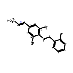 Cc1ccccc1COc1c(Br)cc(/C=C/C(=O)O)cc1Br